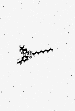 CCCCCCCCCCS(=O)(=O)c1ccc(C(F)(F)F)cc1-n1oc(C(C)(C)C)cc1=O